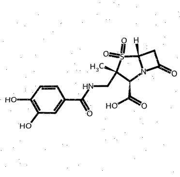 C[C@]1(CNC(=O)c2ccc(O)c(O)c2)[C@H](C(=O)O)N2C(=O)C[C@H]2S1(=O)=O